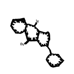 Brc1c2ccccc2c(Br)c2cc(-c3ccccc3)ccc12